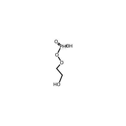 O=[PH](O)OOCCO